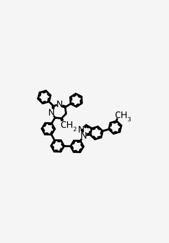 C=C1CC(c2ccccc2)=NC(c2ccccc2)=NC1c1cccc(-c2cccc(-c3cccc(-n4ncc5cc(-c6cccc(C)c6)ccc54)c3)c2)c1